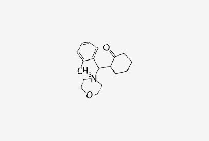 Cc1ccccc1C(C1CCCCC1=O)N1CCOCC1